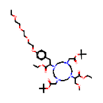 CCOCCOCCOCCOc1ccc(CC(C(=O)OCC)N2CCN(CC(=O)OC(C)(C)C)CCN(C(COC)C(=O)OCC)CCN(CC(=O)OC(C)(C)C)CC2)cc1